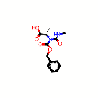 CNC(=O)N(C(=O)OCc1ccccc1)[C@@H](C)C(=O)O